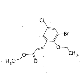 CCOC(=O)/C=C/c1cc(Cl)cc(Br)c1OCC